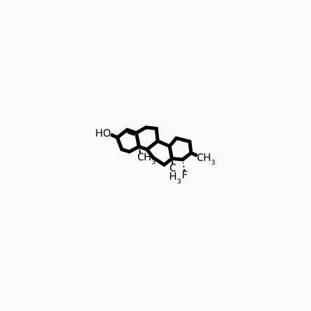 CC1CCC2C3CCC4=CC(O)CC[C@]4(C)C3CC[C@]2(C)[C@H]1F